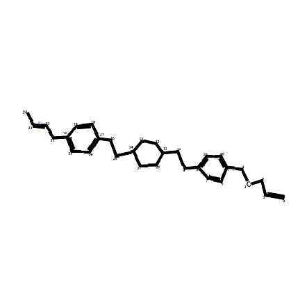 C=CCOCc1ccc(CCC2CCC(CCc3ccc(C/C=C/C)cc3)CC2)cc1